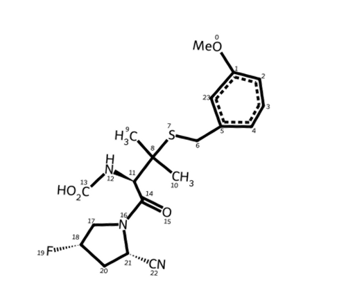 COc1cccc(CSC(C)(C)[C@H](NC(=O)O)C(=O)N2C[C@@H](F)C[C@H]2C#N)c1